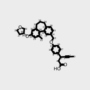 CC#CC(CC(=O)O)c1ccc(OCc2ccc3c(c2)-c2c(C)cc(O[C@@H]4CCOC4)cc2CCC3)cc1